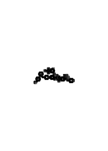 CC(C)S(=O)(=O)c1cncc(Oc2cc(N3CCC(CN4CCCC[C@H]4c4ccc(Cl)cc4)CC3)ccc2C(=O)NS(=O)(=O)c2ccc(NCC3CCOCC3)c([N+](=O)[O-])c2)c1